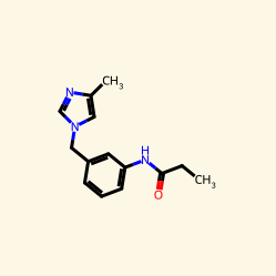 CCC(=O)Nc1cccc(Cn2cnc(C)c2)c1